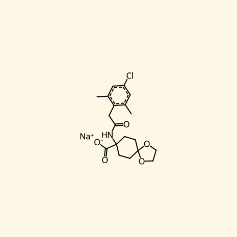 Cc1cc(Cl)cc(C)c1CC(=O)NC1(C(=O)[O-])CCC2(CC1)OCCO2.[Na+]